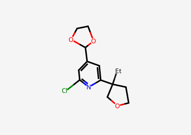 CCC1(c2cc(C3OCCO3)cc(Cl)n2)CCOC1